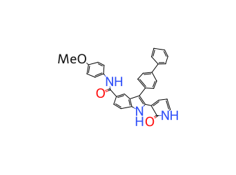 COc1ccc(NC(=O)c2ccc3[nH]c(-c4ccc[nH]c4=O)c(-c4ccc(-c5ccccc5)cc4)c3c2)cc1